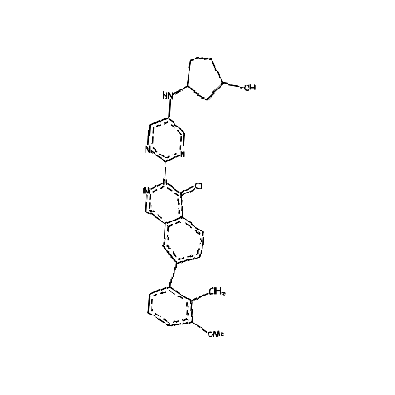 COc1cccc(-c2ccc3c(=O)n(-c4ncc(NC5CCC(O)C5)cn4)ncc3c2)c1C